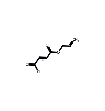 C=CCOC(=O)/C=C/C(=O)Cl